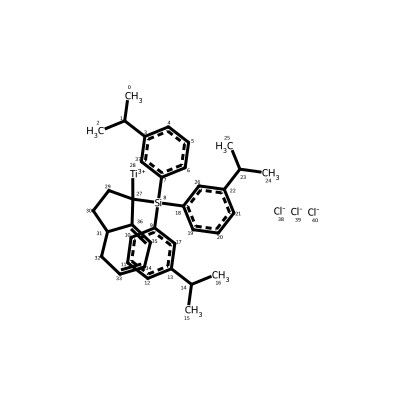 CC(C)c1cccc([Si](c2cccc(C(C)C)c2)(c2cccc(C(C)C)c2)[C]2([Ti+3])CCC3CC=CC=C32)c1.[Cl-].[Cl-].[Cl-]